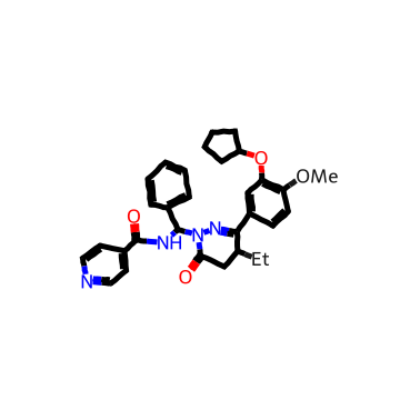 CCC1CC(=O)N(C(NC(=O)c2ccncc2)c2ccccc2)N=C1c1ccc(OC)c(OC2CCCC2)c1